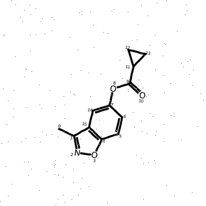 Cc1noc2ccc(OC(=O)C3CC3)cc12